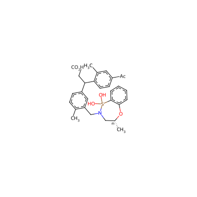 CC(=O)c1ccc(C(CC(=O)O)c2ccc(C)c(CN3C[C@@H](C)Oc4ccccc4S3(O)O)c2)c(C)c1